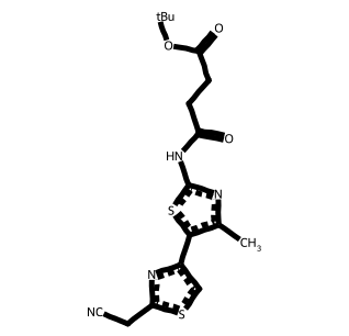 Cc1nc(NC(=O)CCC(=O)OC(C)(C)C)sc1-c1csc(CC#N)n1